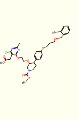 COC(=O)Cc1c(Cl)nc(C)nc1OCCOC1CN(C(=O)OC(C)(C)C)CCC1c1ccc(OCCCOCc2ccccc2OC)cc1